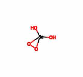 O[Se]1(O)OO1